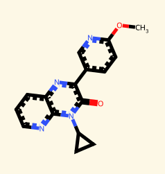 COc1ccc(-c2nc3cccnc3n(C3CC3)c2=O)cn1